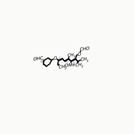 C=C\C(=C/C=C(C)/C(OC)=C(\COC=O)C(=C)C)OC1CCC[C@H](C=O)C1